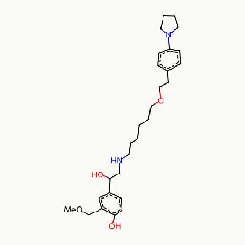 COCc1cc(C(O)CNCCCCCCOCCc2ccc(N3CCCC3)cc2)ccc1O